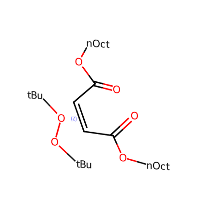 CC(C)(C)OOC(C)(C)C.CCCCCCCCOC(=O)/C=C\C(=O)OCCCCCCCC